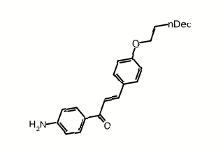 CCCCCCCCCCCCOc1ccc(C=CC(=O)c2ccc(N)cc2)cc1